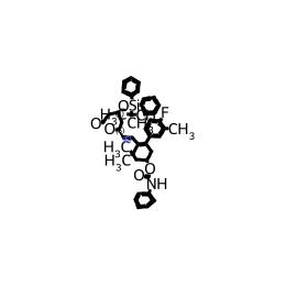 Cc1cc(C2=C(/C=C/[C@@H]3C[C@@H](O[Si](c4ccccc4)(c4ccccc4)C(C)(C)C)CC(=O)O3)C(C)(C)CC(OC(=O)Nc3ccccc3)C2)ccc1F